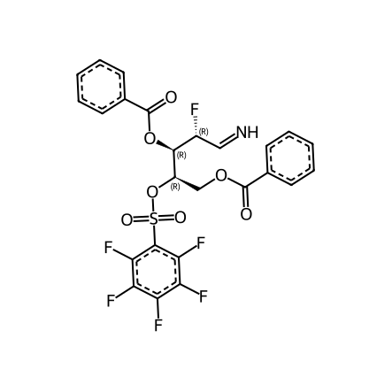 N=C[C@@H](F)[C@H](OC(=O)c1ccccc1)[C@@H](COC(=O)c1ccccc1)OS(=O)(=O)c1c(F)c(F)c(F)c(F)c1F